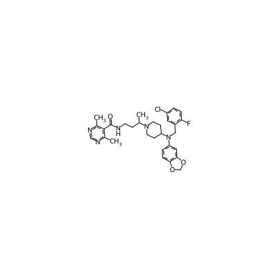 Cc1ncnc(C)c1C(=O)NCCC(C)N1CCC(N(Cc2cc(Cl)ccc2F)c2ccc3c(c2)OCO3)CC1